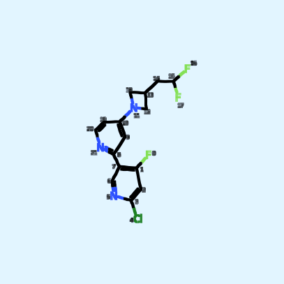 Fc1cc(Cl)ncc1-c1cc(N2CC(CC(F)F)C2)ccn1